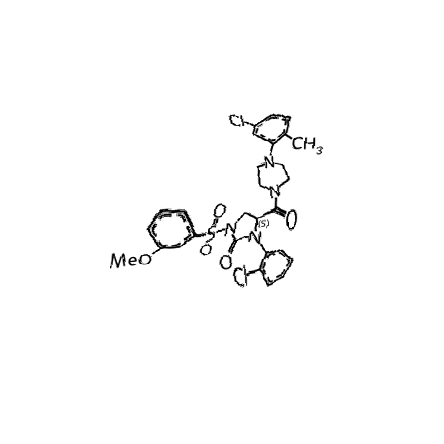 COc1cccc(S(=O)(=O)N2C[C@@H](C(=O)N3CCN(c4cc(Cl)ccc4C)CC3)N(c3ccccc3Cl)C2=O)c1